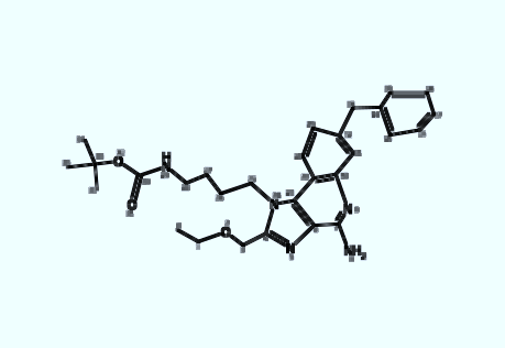 CCOCc1nc2c(N)nc3cc(Cc4ccccc4)ccc3c2n1CCCCNC(=O)OC(C)(C)C